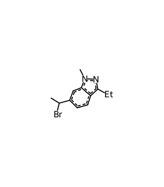 CCc1nn(C)c2cc(C(C)Br)ccc12